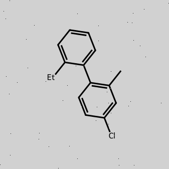 CCc1ccccc1-c1ccc(Cl)cc1C